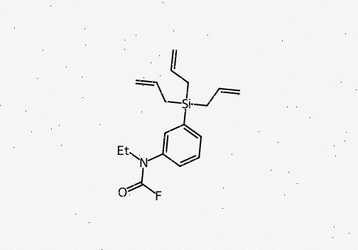 C=CC[Si](CC=C)(CC=C)c1cccc(N(CC)C(=O)F)c1